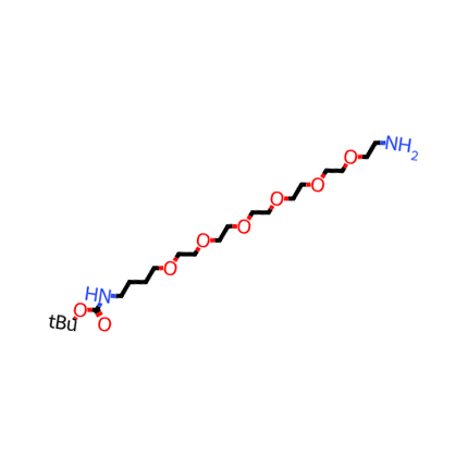 CC(C)(C)OC(=O)NCCCCOCCOCCOCCOCCOCCOCCN